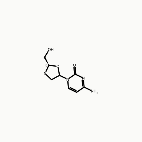 Nc1ccn(C2CS[C@@H](CO)O2)c(=O)n1